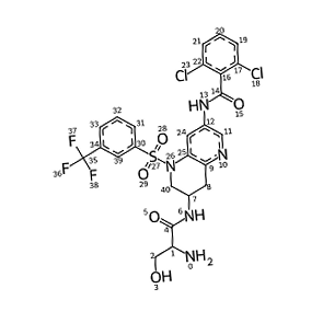 NC(CO)C(=O)NC1Cc2ncc(NC(=O)c3c(Cl)cccc3Cl)cc2N(S(=O)(=O)c2cccc(C(F)(F)F)c2)C1